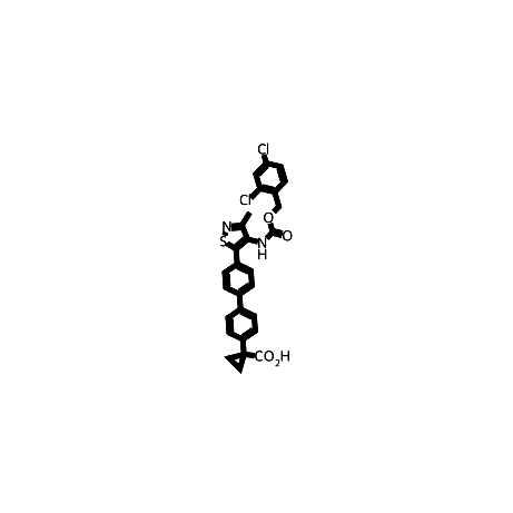 Cc1nsc(-c2ccc(-c3ccc(C4(C(=O)O)CC4)cc3)cc2)c1NC(=O)OCc1ccc(Cl)cc1Cl